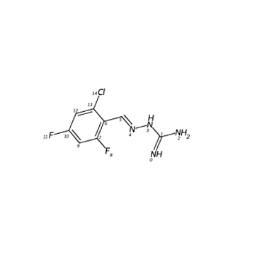 N=C(N)NN=Cc1c(F)cc(F)cc1Cl